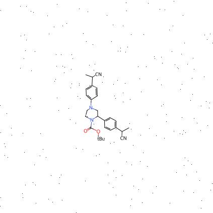 CC(C#N)c1ccc(C2CN(c3ccc(C(C)C#N)cc3)CCN2C(=O)OC(C)(C)C)cc1